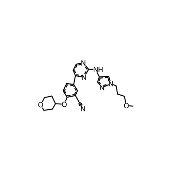 COCCCn1cc(Nc2nccc(-c3ccc(OC4CCOCC4)c(C#N)c3)n2)cn1